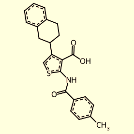 Cc1ccc(C(=O)Nc2scc(C3CCc4ccccc4C3)c2C(=O)O)cc1